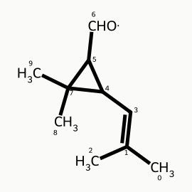 CC(C)=CC1C([C]=O)C1(C)C